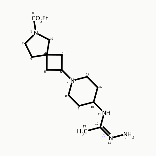 CCOC(=O)N1CCC2(CC(N3CCC(N/C(C)=N\N)CC3)C2)C1